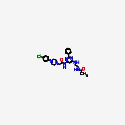 CC(=O)NCCNc1cc(NC(=O)CN2CCN(c3ccc(Cl)cc3)CC2)nc(-c2ccccc2)n1